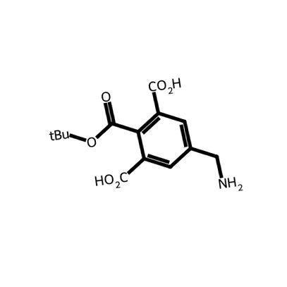 CC(C)(C)OC(=O)c1c(C(=O)O)cc(CN)cc1C(=O)O